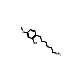 COc1ccc(CCCCCCN)c(O)c1